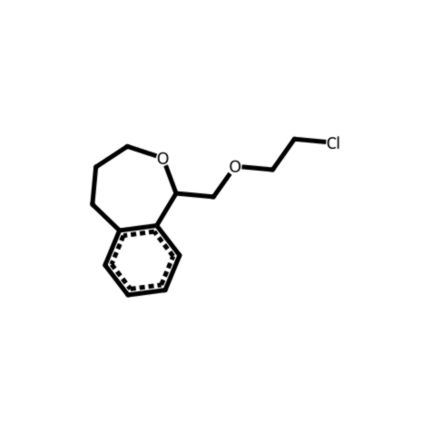 ClCCOCC1OCCCc2ccccc21